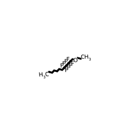 CCCCCCCC(F)(F)C(F)(F)C(F)(F)C(F)(F)COCCC